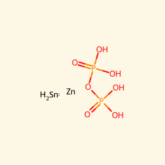 O=P(O)(O)OP(=O)(O)O.[SnH2].[Zn]